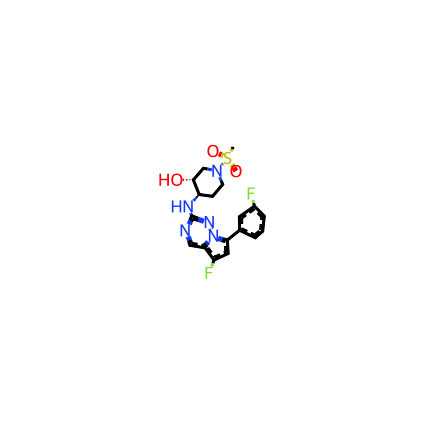 CS(=O)(=O)N1CC[C@@H](Nc2ncc3c(F)cc(-c4cccc(F)c4)n3n2)[C@H](O)C1